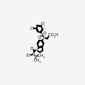 CCN(C(=O)N1CCc2cc(N(CC(=O)O)S(=O)(=O)c3cc(Cl)cc(Cl)c3)ccc21)N(C)C